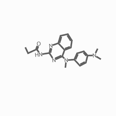 CCC(=O)Nc1nc(N(C)c2ccc(N(C)C)cc2)c2ccccc2n1